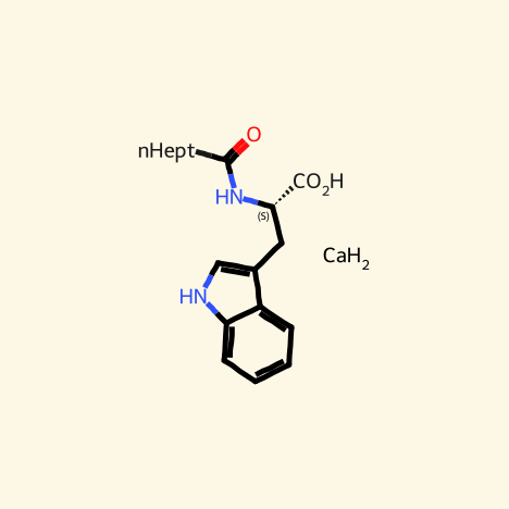 CCCCCCCC(=O)N[C@@H](Cc1c[nH]c2ccccc12)C(=O)O.[CaH2]